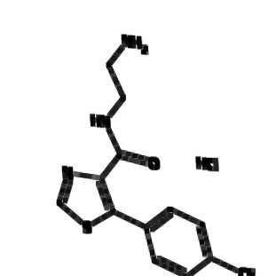 Cl.NCCNC(=O)c1ncsc1-c1ccc(C(F)(F)F)cc1